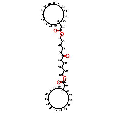 O=C(CCCCCOC(=O)CC1CCCCCCCCCCCCCC1)CCCCCOC(=O)CC1CCCCCCCCCCCCCC1